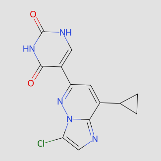 O=c1[nH]cc(-c2cc(C3CC3)c3ncc(Cl)n3n2)c(=O)[nH]1